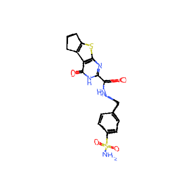 NS(=O)(=O)c1ccc(CNC(=O)c2nc3sc4c(c3c(=O)[nH]2)CCC4)cc1